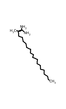 CCCCCCCCCCCCCCCCCCC(C)=C(N)N